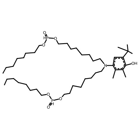 CCCCCCCCO[PH](=O)OCCCCCCCCN(CCCCCCCCO[PH](=O)OCCCCCCCC)c1cc(C(C)(C)C)c(O)c(C)c1C